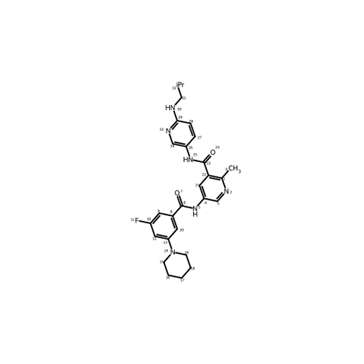 Cc1ncc(NC(=O)c2cc(F)cc(N3CCCCC3)c2)cc1C(=O)Nc1ccc(NCC(C)C)nc1